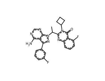 CC(c1nc2cccc(F)c2c(=O)n1C1CCC1)n1nc(-c2cccc(F)c2)c2c(N)ncnc21